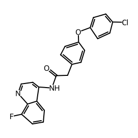 O=C(Cc1ccc(Oc2ccc(Cl)cc2)cc1)Nc1ccnc2c(F)cccc12